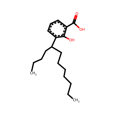 CCCCCCCC(CCCC)c1cccc(C(=O)O)c1O